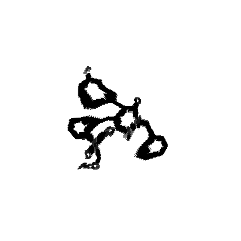 CC(=O)OCS(=O)(=O)c1ccccc1-c1cnn(Cc2ccccc2)c(=O)c1-c1ccc(F)cc1